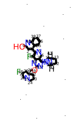 Oc1cc(-c2ncc3c(N4C[C@H]5CC[C@@H](C4)N5)nc(OC[C@@]45CCCN4C[C@H](F)C5)nc3c2F)c2ccccc2n1